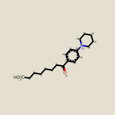 O=C(O)CCCCCCC(=O)c1ccc(N2CCCCC2)cc1